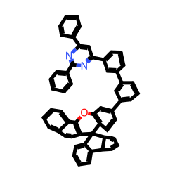 C1=CC2c3ccccc3C3(c4ccc(-c5cccc(-c6cccc(-c7cc(-c8ccccc8)nc(-c8ccccc8)n7)c6)c5)cc4Oc4c3ccc3ccccc43)C2C=C1